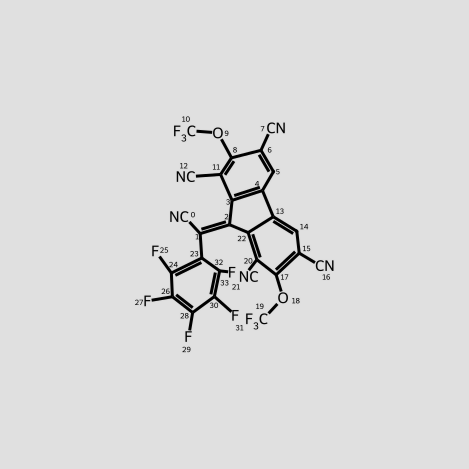 N#CC(=C1c2c(cc(C#N)c(OC(F)(F)F)c2C#N)-c2cc(C#N)c(OC(F)(F)F)c(C#N)c21)c1c(F)c(F)c(F)c(F)c1F